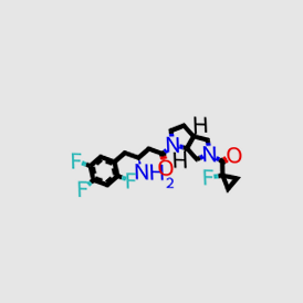 N[C@@H](CC(=O)N1CC[C@H]2CN(C(=O)C3(F)CC3)C[C@H]21)Cc1cc(F)c(F)cc1F